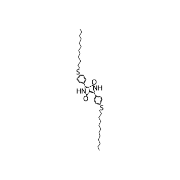 CCCCCCCCCCCCSc1ccc(C2=C3C(=O)NC(c4ccc(SCCCCCCCCCCCC)cc4)=C3C(=O)N2)cc1